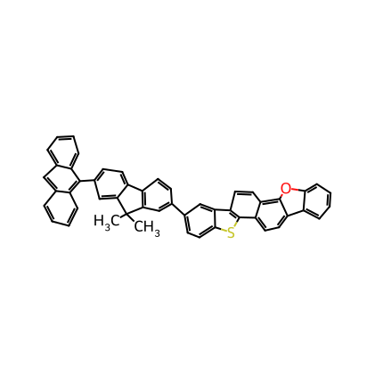 CC1(C)c2cc(-c3ccc4sc5c(ccc6c5ccc5c7ccccc7oc56)c4c3)ccc2-c2ccc(-c3c4ccccc4cc4ccccc34)cc21